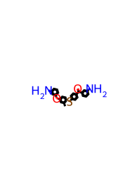 Cc1cc(Oc2cccc(N)c2)ccc1Sc1ccc(C(=O)c2cccc(N)c2)cc1